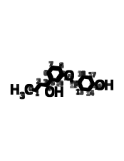 CCC[C@@H](O)c1cccc(OC[C@H]2CC[C@H](O)CC2)c1